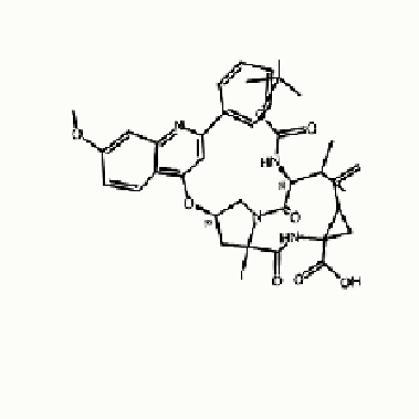 C=CC1CC1(NC(=O)C1(I)C[C@@H](Oc2cc(-c3ccccc3)nc3cc(OC)ccc23)CN1C(=O)[C@@H](NC(=O)OC(C)(C)C)C(C)C)C(=O)O